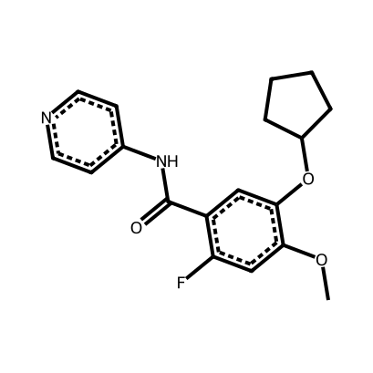 COc1cc(F)c(C(=O)Nc2ccncc2)cc1OC1CCCC1